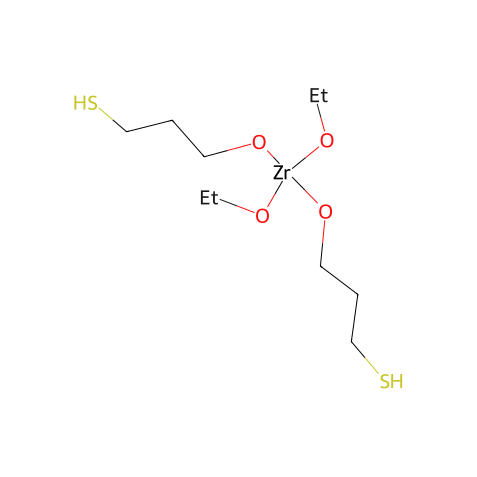 CC[O][Zr]([O]CC)([O]CCCS)[O]CCCS